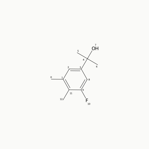 Cc1cc(C(C)(C)O)cc(F)c1C